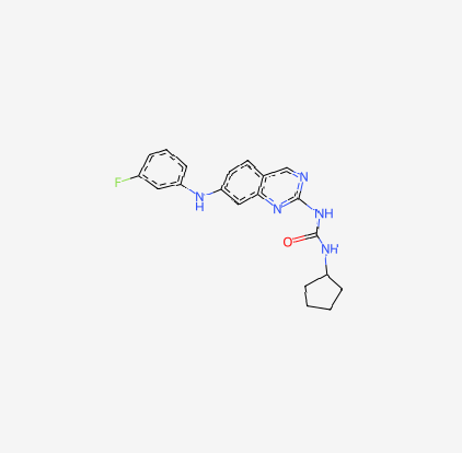 O=C(Nc1ncc2ccc(Nc3cccc(F)c3)cc2n1)NC1CCCC1